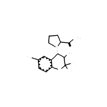 COC(=O)C1CCCN1[C@H]1c2cc(C#N)ccc2OC(C)(C)C1O